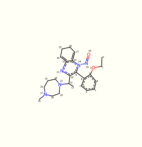 CCOc1ccccc1-c1c(C(C)N2CCCN(C)CC2)nc2c([n+]1N=O)=CCCC=2